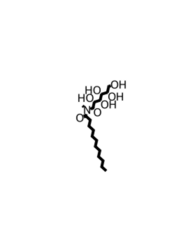 CCCCCCCCCCCC(=O)N(C)C(=O)C(O)C(O)C(O)C(O)CO